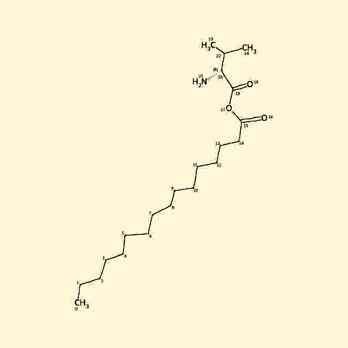 CCCCCCCCCCCCCCCC(=O)OC(=O)[C@H](N)C(C)C